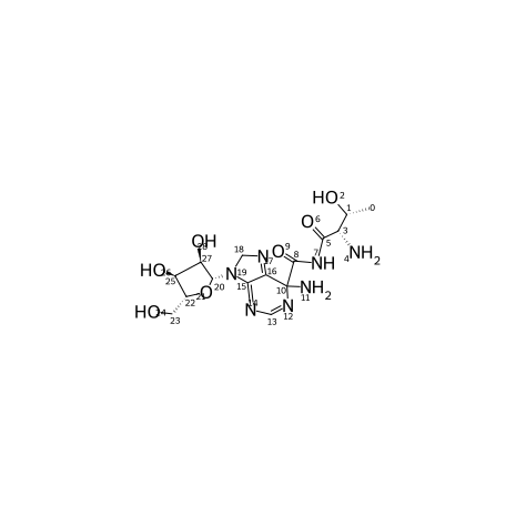 C[C@@H](O)[C@H](N)C(=O)NC(=O)C1(N)N=CN=C2C1=NCN2[C@@H]1O[C@H](CO)[C@@H](O)[C@H]1O